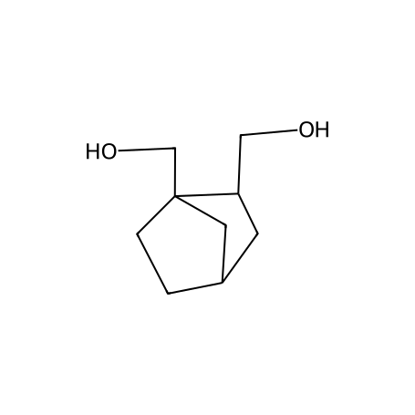 OCC1CC2CCC1(CO)C2